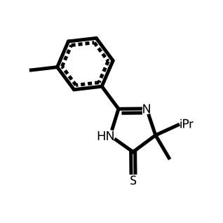 Cc1cccc(C2=NC(C)(C(C)C)C(=S)N2)c1